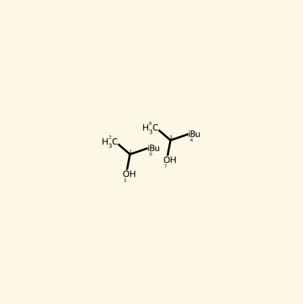 CCC(C)C(C)O.CCC(C)C(C)O